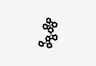 c1ccc(-n2c3ccccc3c3c4c5ccccc5n(-c5ccc([Si]6(c7ccccc7)c7ccccc7-c7ccccc76)cc5)c4ccc32)cc1